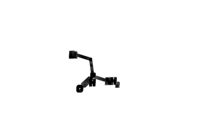 CCC[PH](N)=O